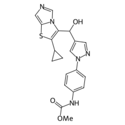 COC(=O)Nc1ccc(-n2cc(C(O)c3c(C4CC4)sc4cncn34)cn2)cc1